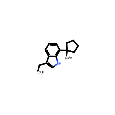 COC1(c2cccc3c(CC(=O)O)c[nH]c23)CCCC1